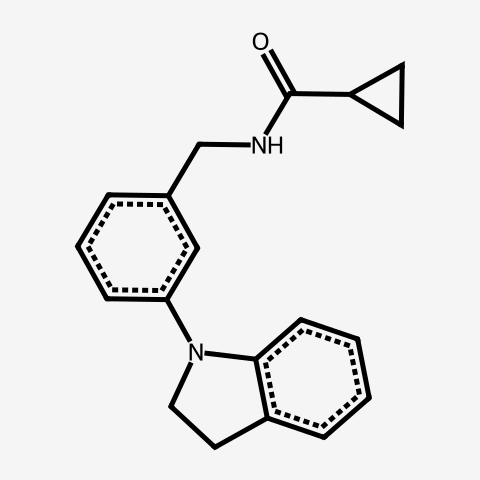 O=C(NCc1cccc(N2CCc3ccccc32)c1)C1CC1